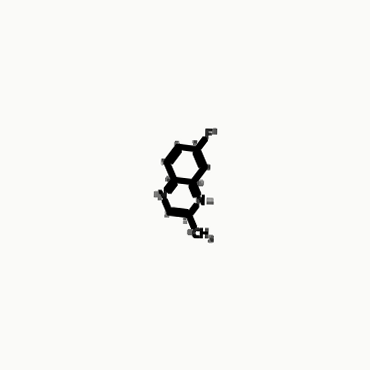 Cc1cnc2ccc(F)cc2n1